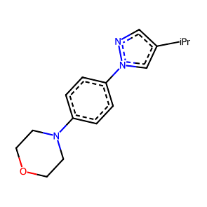 CC(C)c1cnn(-c2ccc(N3CCOCC3)cc2)c1